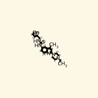 CCN1CCN(c2cc(C)c3cc(NC(=S)NCC4=CCOO4)ccc3n2)CC1